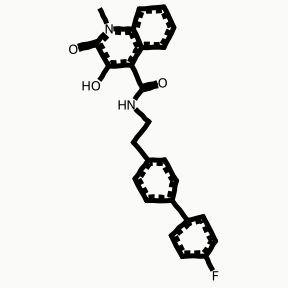 Cn1c(=O)c(O)c(C(=O)NCCc2ccc(-c3ccc(F)cc3)cc2)c2ccccc21